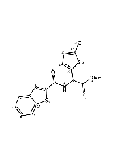 COC(=O)C(NC(=O)c1cc2ccccc2s1)c1ccc(Cl)s1